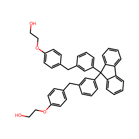 OCCOc1ccc(Cc2cccc(C3(c4cccc(Cc5ccc(OCCO)cc5)c4)c4ccccc4-c4ccccc43)c2)cc1